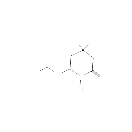 CCOC1CC(C)(C)CC(=O)N1C